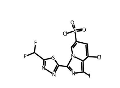 O=S(=O)(Cl)c1cc(Cl)c2c(I)nc(-c3nnc(C(F)F)s3)n2c1